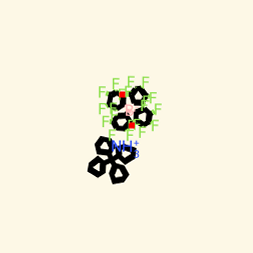 Fc1c(F)c(F)c([B-](c2c(F)c(F)c(F)c(F)c2F)(c2c(F)c(F)c(F)c(F)c2F)c2c(F)c(F)c(F)c(F)c2F)c(F)c1F.[NH3+]c1ccccc1C(c1ccccc1)(c1ccccc1)c1ccccc1